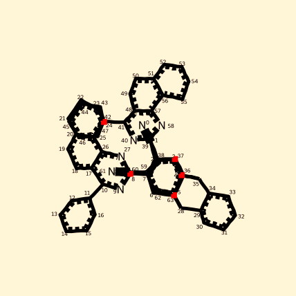 N#Cc1cc2c(cc1-c1nc(-c3ccccc3)c3ccc4ccccc4c3n1)C1c3ccccc3C2c2cc(-c3nc(-c4ccccc4)c4ccc5ccccc5c4n3)c(C#N)cc21